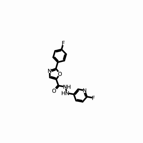 O=C(NNc1ccc(F)nc1)c1cnc(-c2ccc(F)cc2)o1